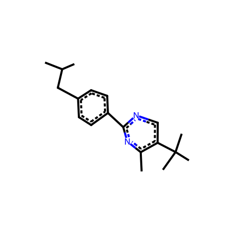 Cc1nc(-c2ccc(CC(C)C)cc2)ncc1C(C)(C)C